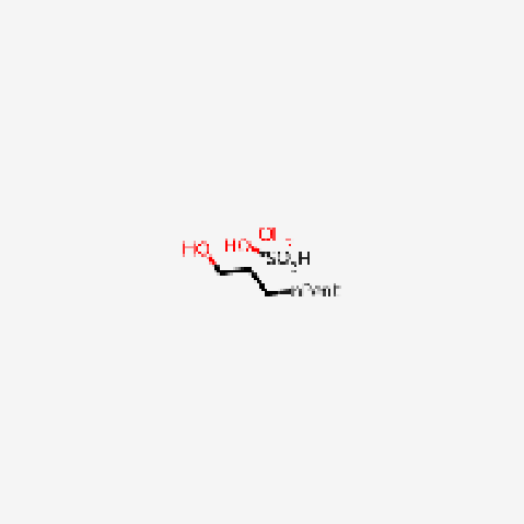 CCCCCCCCO.O.O=S(=O)(O)O